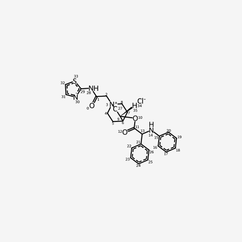 O=C(C[N+]12CCC(CC1)[C@@H](OC(=O)C(Nc1ccccc1)c1ccccc1)C2)Nc1nccs1.[Cl-]